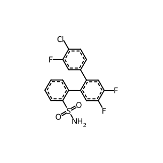 NS(=O)(=O)c1ccccc1-c1cc(F)c(F)cc1-c1ccc(Cl)c(F)c1